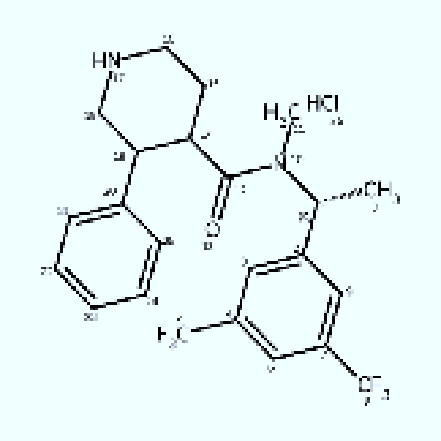 C[C@H](c1cc(C(F)(F)F)cc(C(F)(F)F)c1)N(C)C(=O)C1CCNCC1c1ccccc1.Cl